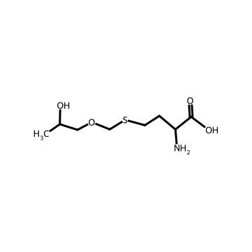 CC(O)COCSCCC(N)C(=O)O